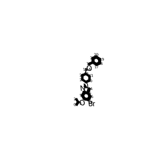 CC(C)Oc1cc2nn([C@H]3CC[C@H](COCc4ccccc4)CC3)cc2cc1Br